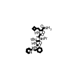 CCCN(C(=O)[C@@H](NC(=O)NC1(CSc2ccccn2)CCCCC1)C(C)(C)C)[C@@H](C)C(=O)NC(CC1CCC1)C(=O)C(N)=O